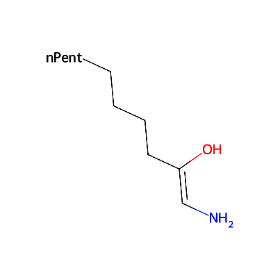 CCCCCCCCCC(O)=CN